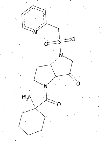 NC1(C(=O)N2CCC3C2C(=O)CN3S(=O)(=O)Cc2ccccn2)CCCCC1